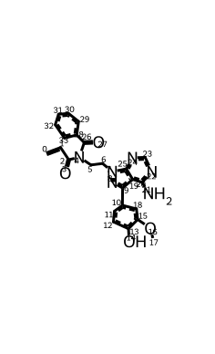 C=CC(=O)N(CCn1nc(-c2ccc(O)c(OC)c2)c2c(N)ncnc21)C(=O)c1ccccc1